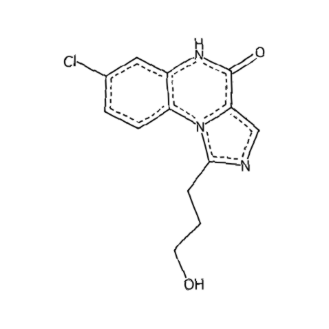 O=c1[nH]c2cc(Cl)ccc2n2c(CCCO)ncc12